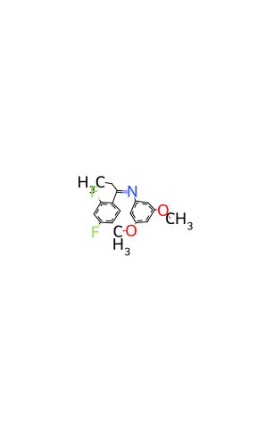 CC/C(=N/c1cc(OC)cc(OC)c1)c1ccc(F)cc1F